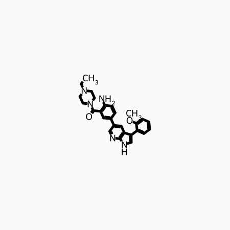 CCN1CCN(C(=O)c2cc(-c3cnc4[nH]cc(-c5ccccc5OC)c4c3)ccc2N)CC1